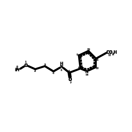 CC(C)OCCCNC(=O)c1ccc(C(=O)O)cn1